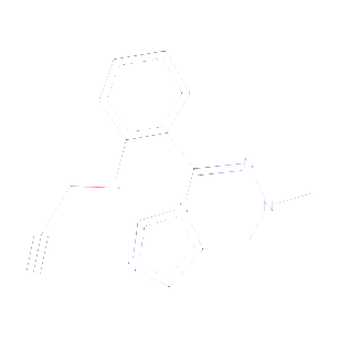 C#CCOc1ccccc1C(=NN(C)C)n1ccnc1